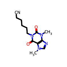 Cn1cnc2c1c(=O)n(CCCCCC#N)c(=O)n2C